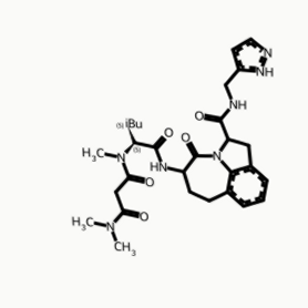 CC[C@H](C)[C@@H](C(=O)NC1CCc2cccc3c2N(C1=O)C(C(=O)NCc1ccn[nH]1)C3)N(C)C(=O)CC(=O)N(C)C